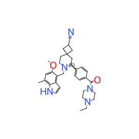 CCN1CCN(C(=O)c2ccc([C@@H]3CC4(CCN3Cc3c(OC)cc(C)c5[nH]ccc35)CC(C#N)C4)cc2)CC1